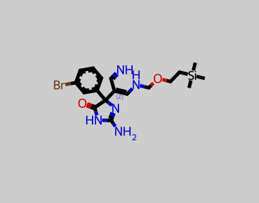 C[Si](C)(C)CCOCN/C=C(\C=N)C1(c2cccc(Br)c2)N=C(N)NC1=O